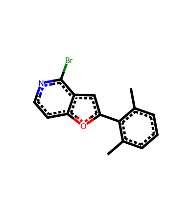 Cc1cccc(C)c1-c1cc2c(Br)nccc2o1